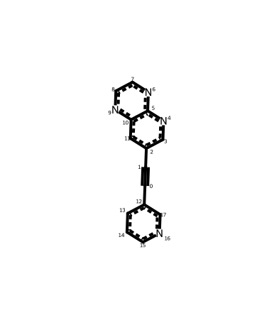 C(#Cc1cnc2nccnc2c1)c1cccnc1